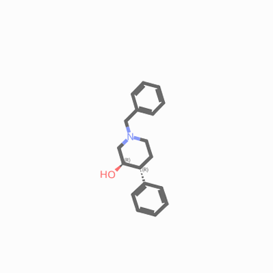 O[C@H]1CN(Cc2ccccc2)CC[C@@H]1c1ccccc1